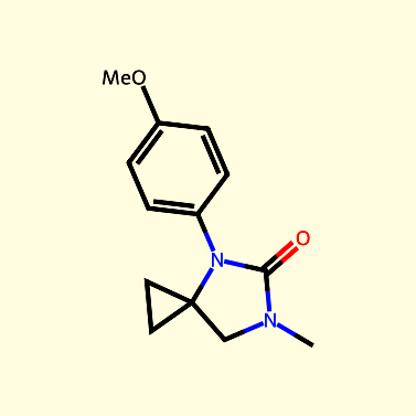 COc1ccc(N2C(=O)N(C)CC23CC3)cc1